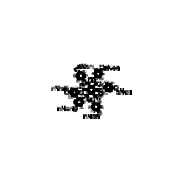 CCCCCCCCCOc1ccc(OC(=O)c2c(C(=O)Oc3ccc(OCCCCCCCCC)cc3)c(C(=O)Oc3ccc(OCCCCCCCCC)cc3)c(C(=O)Oc3ccc(OCCCCCCCCC)cc3)c(C(=O)Oc3ccc(OCCCCCCCCC)cc3)c2C(=O)Oc2ccc(OCCCCCCCCC)cc2)cc1